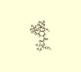 Cc1cc(NC(=O)OC(C)(C)C)cc(OS(=O)(=O)C(F)(F)F)c1OS(=O)(=O)C(F)(F)F